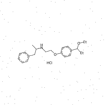 CCOC(CC)c1ccc(OCCNC(C)Cc2ccccc2)cc1.Cl